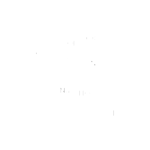 O=C([O-])CN(CC(O)CCl)CC(O)CCl.[Na+]